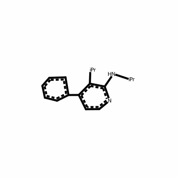 CC(C)Nc1nccc(-c2ccccc2)c1C(C)C